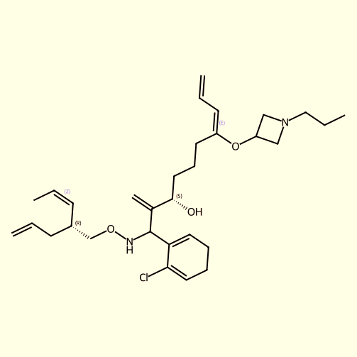 C=C/C=C(\CCC[C@H](O)C(=C)C(NOC[C@@H](/C=C\C)CC=C)C1=CCCC=C1Cl)OC1CN(CCC)C1